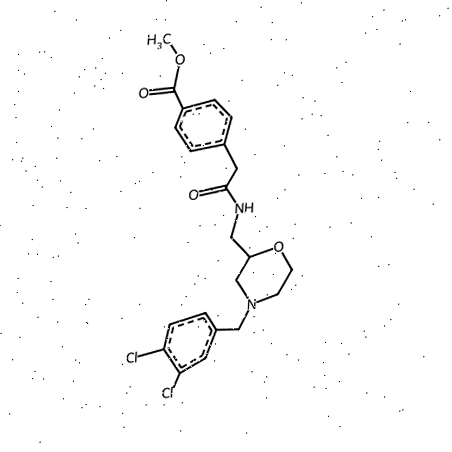 COC(=O)c1ccc(CC(=O)NCC2CN(Cc3ccc(Cl)c(Cl)c3)CCO2)cc1